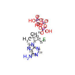 CC1(C)[C@H](COP(=O)(O)OP(=O)(O)OP(=O)(O)O)[C@@H](CF)[C@@H]1n1cnc2c(N)ncnc21